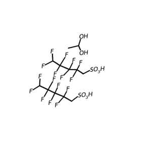 CC(O)O.O=S(=O)(O)CC(F)(F)C(F)(F)C(F)(F)C(F)F.O=S(=O)(O)CC(F)(F)C(F)(F)C(F)(F)C(F)F